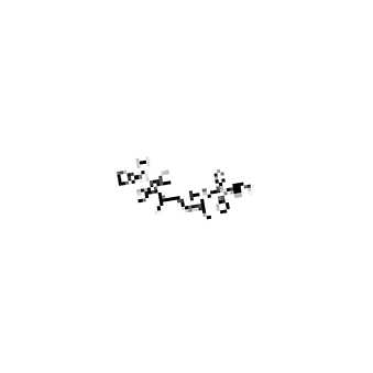 CCNS(=O)(=O)C(C)CCC(C)NS(=O)(=O)C(C)C